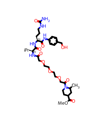 COC(=O)C1CCN(C(=O)COCCOCCOCC(=O)N[C@H](C(=O)N[C@@H](CCCNC(N)=O)C(=O)Nc2ccc(CO)cc2)C(C)C)C(C)C1